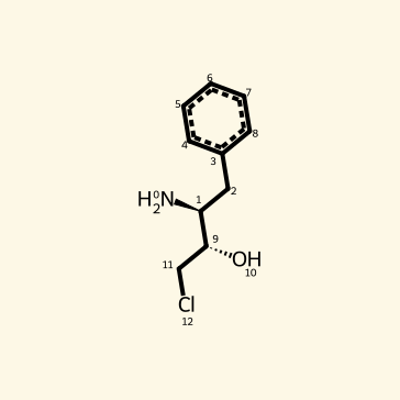 N[C@@H](Cc1ccccc1)[C@H](O)CCl